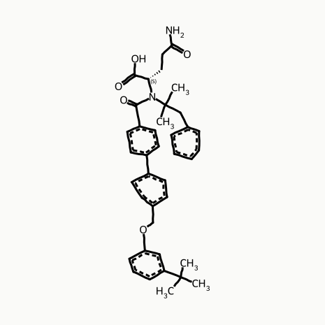 CC(C)(C)c1cccc(OCc2ccc(-c3ccc(C(=O)N([C@@H](CCC(N)=O)C(=O)O)C(C)(C)Cc4ccccc4)cc3)cc2)c1